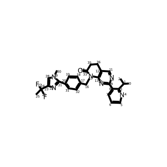 CC(C)c1ncccc1-c1ncc2c(n1)N(Cc1ccc(-c3nc(C(C)(F)F)cn3C)cc1)C(=O)CC2